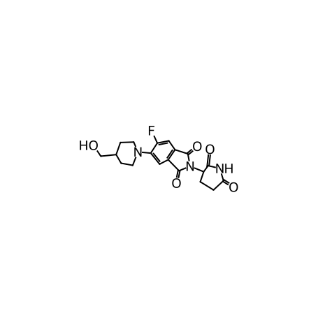 O=C1CCC(N2C(=O)c3cc(F)c(N4CCC(CO)CC4)cc3C2=O)C(=O)N1